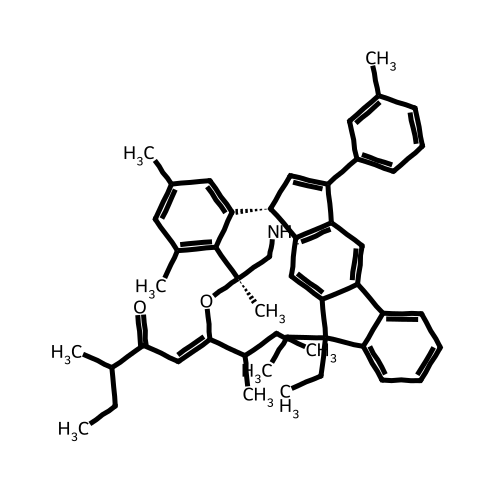 CCC(C)C(=O)/C=C(\O[C@](C)(CN)c1c(C)cc(C)cc1[C@@H]1C=C(c2cccc(C)c2)c2cc3c(cc21)C(CC)(CC)c1ccccc1-3)C(C)CC